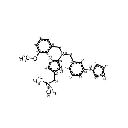 COc1cccc(CN(Cc2cccc(-n3ccnc3)c2)c2nc(CN(C)C)co2)c1